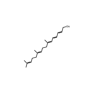 CC(C)=CCC/C(C)=C/CC/C(C)=C/C=C/C=C/CO